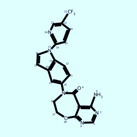 Nc1ncnc2c1C(=O)N(c1ccc3c(ccn3-c3ccc(C(F)(F)F)cn3)c1)CCO2